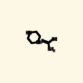 C1CNCCN1.NC(=S)S